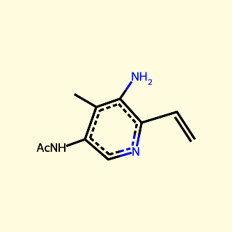 C=Cc1ncc(NC(C)=O)c(C)c1N